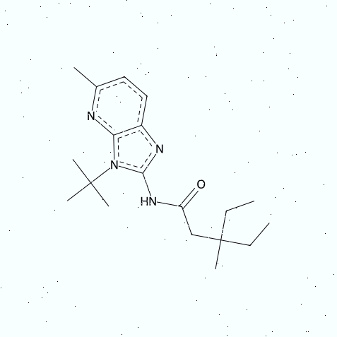 CCC(C)(CC)CC(=O)Nc1nc2ccc(C)nc2n1C(C)(C)C